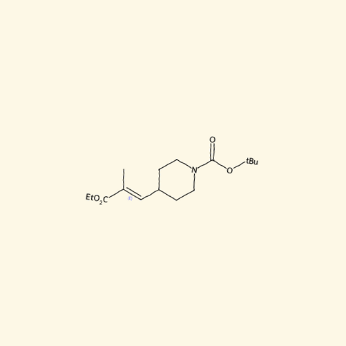 CCOC(=O)/C(C)=C/C1CCN(C(=O)OC(C)(C)C)CC1